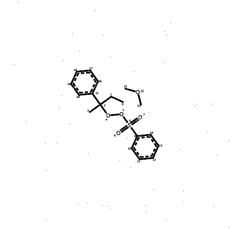 CCC(C)(OOS(=O)(=O)c1ccccc1)c1ccccc1.COC